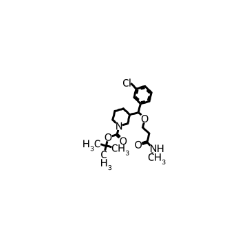 CNC(=O)CCOC(c1cccc(Cl)c1)C1CCCN(C(=O)OC(C)(C)C)C1